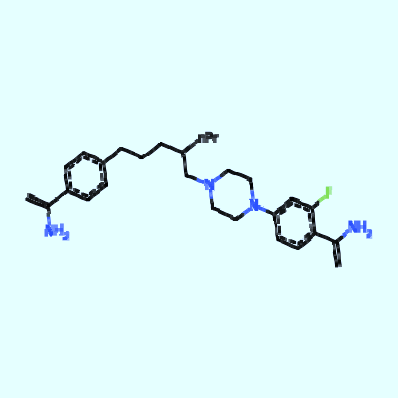 C=C(N)c1ccc(CCCC(CCC)CN2CCN(c3ccc(C(=C)N)c(F)c3)CC2)cc1